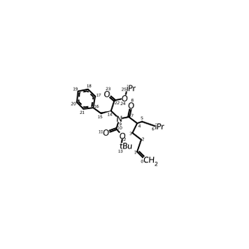 C=CCCC(CC(C)C)C(=O)N(C(=O)OC(C)(C)C)[C@@H](Cc1ccccc1)C(=O)OC(C)C